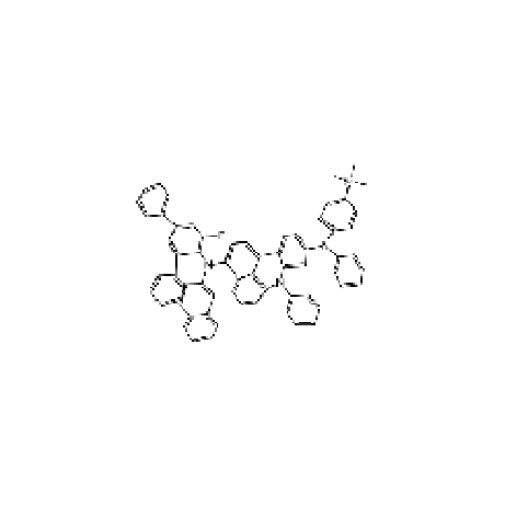 C[Si](C)(C)c1ccc(N(c2ccccc2)c2ccc3c(c2)N(c2ccccc2)c2cccc4c(N(c5ccc6ccccc6c5)c5c(F)cc(-c6ccccc6)cc5-c5ccccc5)ccc-3c24)cc1